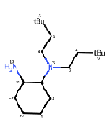 CC(C)(C)CCN(CCC(C)(C)C)C1CCCCC1N